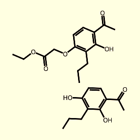 CCCc1c(O)ccc(C(C)=O)c1O.CCCc1c(OCC(=O)OCC)ccc(C(C)=O)c1O